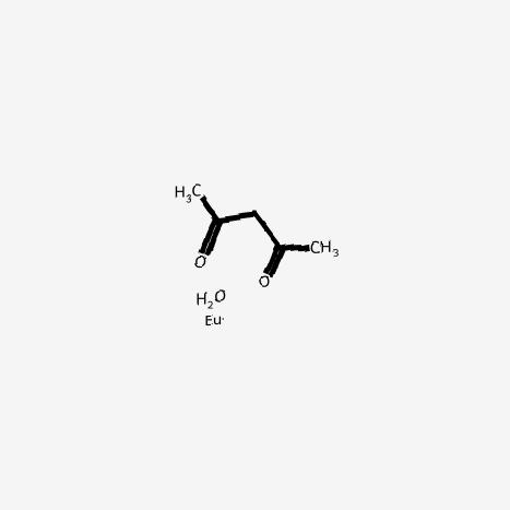 CC(=O)CC(C)=O.O.[Eu]